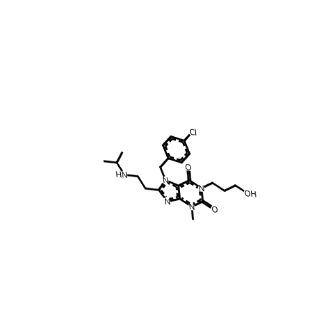 CC(C)NCCc1nc2c(c(=O)n(CCCO)c(=O)n2C)n1Cc1ccc(Cl)cc1